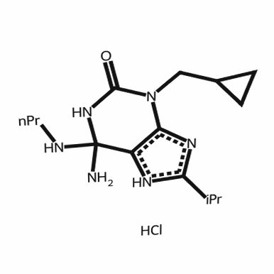 CCCNC1(N)NC(=O)N(CC2CC2)c2nc(C(C)C)[nH]c21.Cl